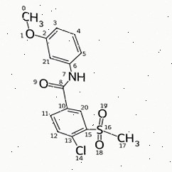 COc1cccc(NC(=O)c2ccc(Cl)c(S(C)(=O)=O)c2)c1